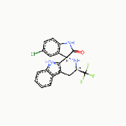 O=C1Nc2ccc(Cl)cc2[C@@]12N[C@@H](C(F)(F)F)Cc1c2[nH]c2ccccc12